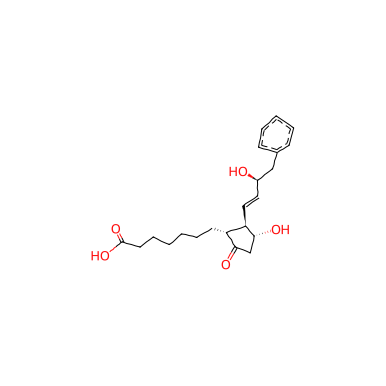 O=C(O)CCCCCC[C@H]1C(=O)C[C@@H](O)[C@@H]1/C=C/[C@@H](O)Cc1ccccc1